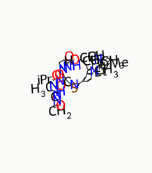 C=CC(=O)N1CC2CCC1CN2C(=O)N(C)[C@H](C(=O)N[C@H]1Cc2nc(cs2)-c2ccc3c(c2)c(c(/C(C=C)=C(/N=C\C)[C@H](C)OC)n3CC)CC(C)(C)COC(=O)[C@@H]2CCCN(N2)C1=O)C(C)C